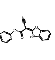 N#C/C(C(=O)Oc1ccccc1)=C1/Nc2ccccc2O1